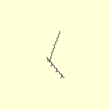 CCCCCCCCCCCCCCCCN(CC)C/C=C(\C)CC/C=C(\C)CCC=C(C)C